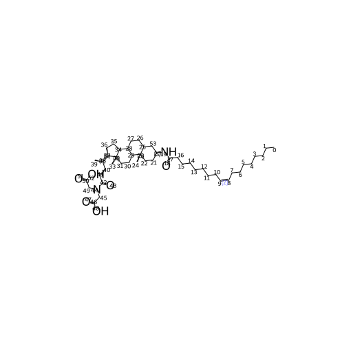 CCCCCCCC/C=C\CCCCCCCC(=O)N[C@H]1CC[C@@]2(C)C(CCC3C2CC[C@@]2(C)C3CC[C@@H]2[C@H](C)CCC(=O)N(CC(=O)O)CC(=O)O)C1